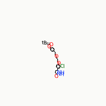 CC(C)(C)C(=O)Oc1ccc(CCOCCCOc2ccc(C3CCC(=O)NN3)cc2Cl)cc1